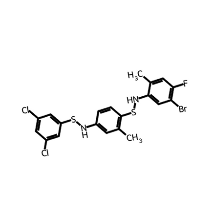 Cc1cc(F)c(Br)cc1NSc1ccc(NSc2cc(Cl)cc(Cl)c2)cc1C